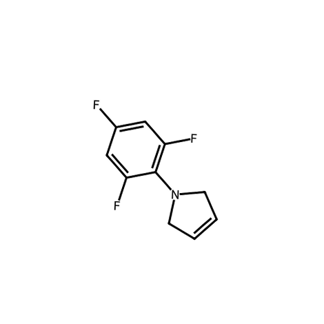 Fc1cc(F)c(N2CC=CC2)c(F)c1